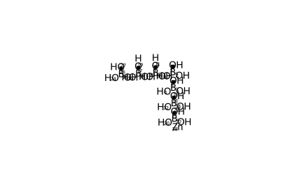 OB(O)O.OB(O)O.OB(O)O.OB(O)O.OB(O)O.OB(O)O.OB(O)O.[Zn]